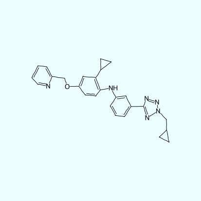 c1ccc(COc2ccc(Nc3cccc(-c4nnn(CC5CC5)n4)c3)c(C3CC3)c2)nc1